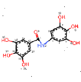 O=C(Nc1cc(O)c(O)c(O)c1)c1cc(O)c(O)c(O)c1